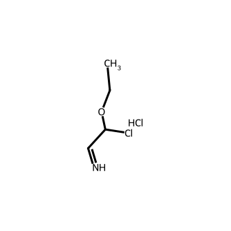 CCOC(Cl)C=N.Cl